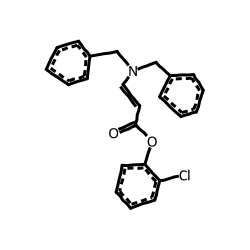 O=C(/C=C/N(Cc1ccccc1)Cc1ccccc1)Oc1ccccc1Cl